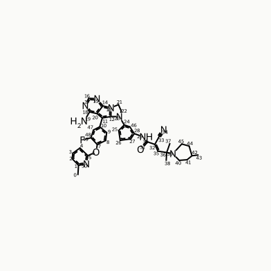 Cc1cccc(Oc2ccc(-c3c4n(c5ncnc(N)c35)CCN4c3cccc(NC(=O)C(C#N)=CC(C)(C)N4CCC(C)CC4)c3)cc2F)n1